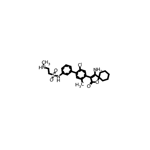 CNCCS(=O)(=O)Nc1cccc(-c2cc(C)c(C3=C(N)C4(CCCCC4)OC3=O)cc2Cl)c1